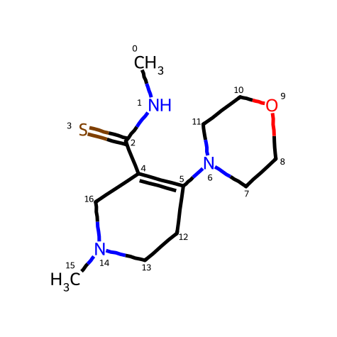 CNC(=S)C1=C(N2CCOCC2)CCN(C)C1